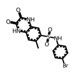 Cc1cc2[nH]c(=O)c(=O)[nH]c2cc1S(=O)(=O)Nc1ccc(Br)cc1